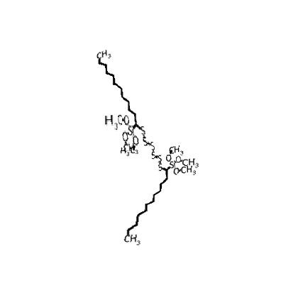 CCCCCCCCCCCC(SSSSSSC(CCCCCCCCCCC)[Si](OC)(OC)OC)[Si](OC)(OC)OC